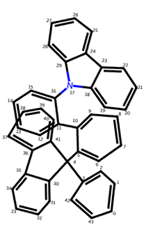 c1ccc(C2(c3ccccc3-c3ccccc3-n3c4ccccc4c4ccccc43)c3ccccc3-c3ccccc32)cc1